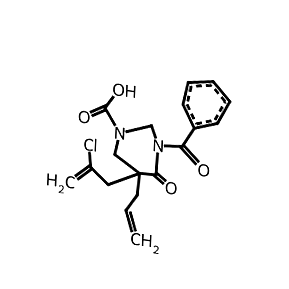 C=CCC1(CC(=C)Cl)CN(C(=O)O)CN(C(=O)c2ccccc2)C1=O